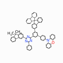 CC1(C)c2ccccc2-c2cc(-c3nc(-c4ccccc4)nc(-c4cc(-c5ccc(N6c7ccccc7Oc7ccccc76)cc5)cc(-c5ccc6c(c5)-c5ccccc5C65C6C=CC=CC6C6C=CC=CC65)c4)n3)ccc21